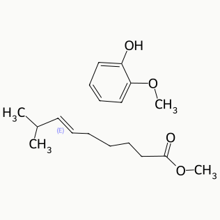 COC(=O)CCCC/C=C/C(C)C.COc1ccccc1O